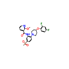 COc1ncccc1C(=O)Nc1cc(S(C)(=O)=O)ccc1N1CCC(Oc2ccc(F)cc2F)CC1